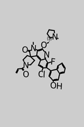 C=CC(=O)N1CCC2(CC1)C(=O)N(C)c1c(OC[C@@H]3CCCN3C)nc3c(F)c(-c4cc(O)cc5ccccc45)c(Cl)cc3c12